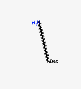 CCCCCCCCCCCCCCCCCCCCCCCCC=CCCCCCCCCN